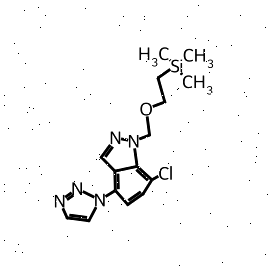 C[Si](C)(C)CCOCn1ncc2c(-n3ccnn3)ccc(Cl)c21